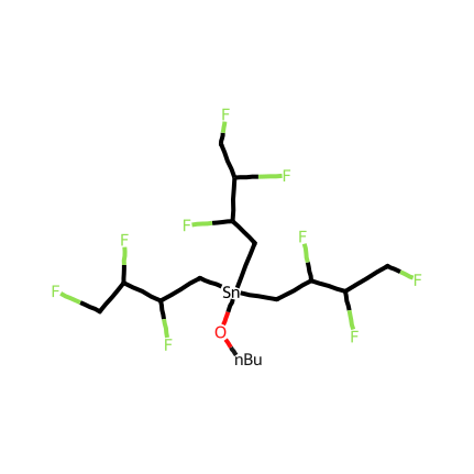 CCCC[O][Sn]([CH2]C(F)C(F)CF)([CH2]C(F)C(F)CF)[CH2]C(F)C(F)CF